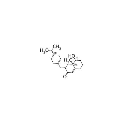 C=C(C)[C@H]1CC=C(C=C2C[C@@]3(C)C(=CC2=O)CCC[C@@H]3O)CC1